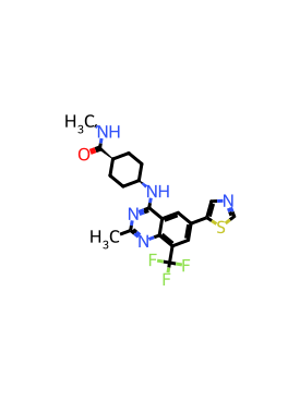 CNC(=O)[C@H]1CC[C@@H](Nc2nc(C)nc3c(C(F)(F)F)cc(-c4cncs4)cc23)CC1